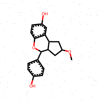 COC1CC2c3cc(O)ccc3OC(c3ccc(O)cc3)C2C1